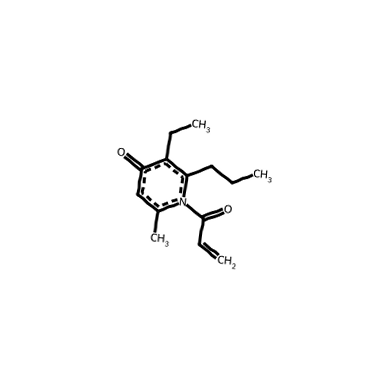 C=CC(=O)n1c(C)cc(=O)c(CC)c1CCC